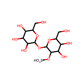 O=S(=O)(O)OC1C(OC2OC(CO)C(O)C(O)C2O)OC(CO)C(O)C1O